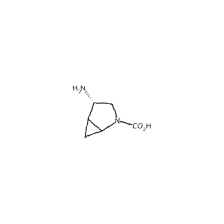 N[C@@H]1CN(C(=O)O)C2CC21